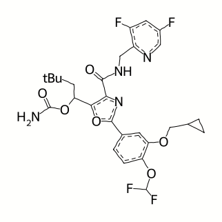 CC(C)(C)CC(OC(N)=O)c1oc(-c2ccc(OC(F)F)c(OCC3CC3)c2)nc1C(=O)NCc1ncc(F)cc1F